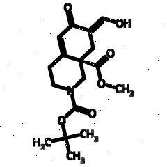 COC(=O)[C@]12CC(=CO)C(=O)C=C1CCN(C(=O)OC(C)(C)C)C2